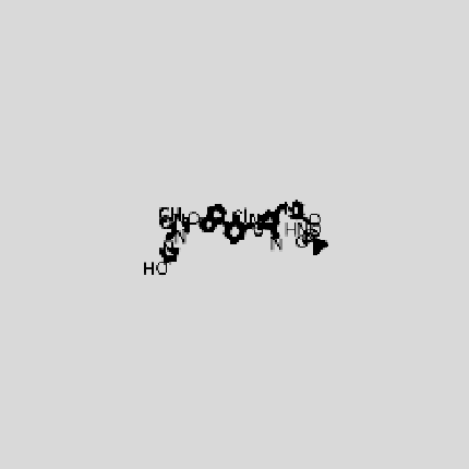 COc1nc(O[C@@H]2CCc3c(-c4cccc(-c5nc6cc(CN7CC[C@@H](C(=O)NS(=O)(=O)C8CC8)C7)cc(C#N)c6o5)c4Cl)cccc32)cnc1CN1CC[C@@H](O)C1